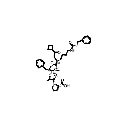 COP(=O)(OC(C)C(=O)N1CCC[C@H]1C(=O)O)[C@@H](Cc1ccccc1)NC(=O)[C@H](CCCCNC(=O)OCc1ccccc1)NC(=O)C1CCC1